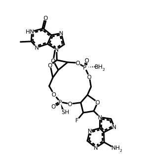 B[P@]1(=O)OCC2OC(n3cnc4c(N)ncnc43)C(F)C2O[P@@](=O)(S)OCC2OC(n3cnc4c(=O)[nH]c(C)nc43)C(O1)C2OC